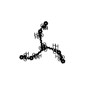 O=C(NCCCCCCn1c(=O)n(CCCCCCNC(=O)Nc2ccc(CNC(=O)C(=O)c3ccccc3)cc2)c(=O)n(CCCCCCNC(=O)Nc2ccc(CNC(=O)C(=O)c3ccccc3)cc2)c1=O)Nc1ccc(CNC(=O)C(=O)c2ccccc2)cc1